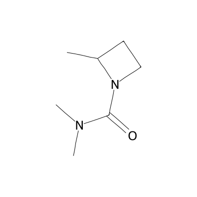 CC1CCN1C(=O)N(C)C